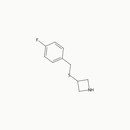 Fc1ccc(CSC2CNC2)cc1